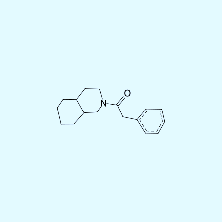 O=C(Cc1ccccc1)N1CCC2CCCCC2C1